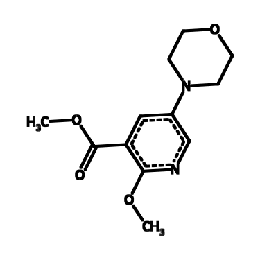 COC(=O)c1cc(N2CCOCC2)cnc1OC